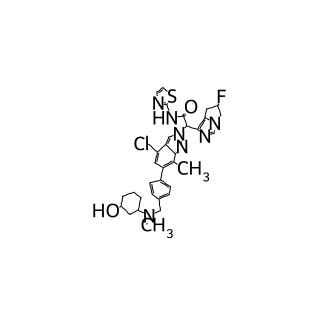 Cc1c(-c2ccc(CN(C)C3CCCC(O)C3)cc2)cc(Cl)c2cn(C(C(=O)Nc3nccs3)c3ncn4c3C[C@@H](F)C4)nc12